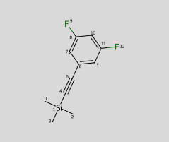 C[Si](C)(C)C#Cc1[c]c(F)cc(F)c1